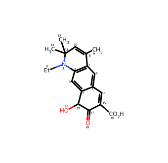 CCN1c2cc3c(cc2C(C)=CC1(C)C)C=C(C(=O)O)C(=O)C3O